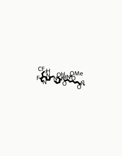 COC(=O)NC(CCC=CC(=O)N(C)C)C(=O)Nc1cccn(Cc2cc3ncc(F)c(CCC(F)(F)F)c3[nH]2)c1=O